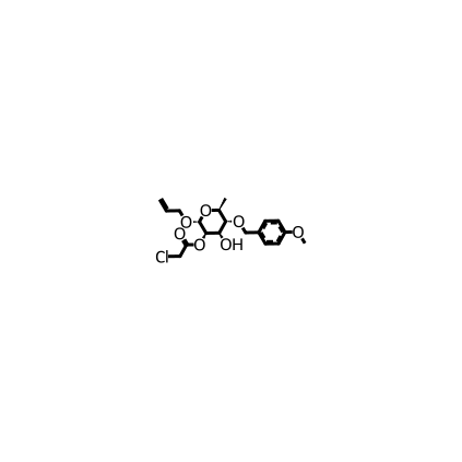 C=CCO[C@@H]1O[C@@H](C)[C@H](OCc2ccc(OC)cc2)[C@@H](O)[C@H]1OC(=O)CCl